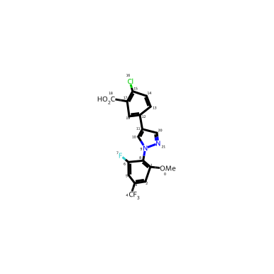 COc1cc(C(F)(F)F)cc(F)c1-n1cc(-c2ccc(Cl)c(C(=O)O)c2)cn1